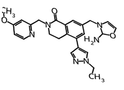 CCn1cc(-c2cc(CN3C=COC3N)cc3c2CCN(Cc2cc(OC)ccn2)C3=O)cn1